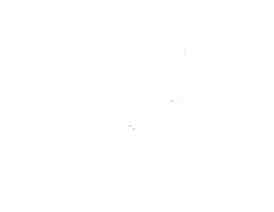 Cc1c(S)[nH]c(=O)[nH]c1=O